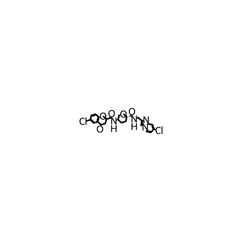 O=C1CC(C(=O)N[C@@H]2CC[C@@H](C(=O)NCc3cn4ccc(Cl)cc4n3)OC2)Oc2ccc(Cl)cc21